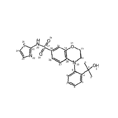 CC(C)(O)c1ccccc1N1CCOc2cc(S(=O)(=O)Nc3nccs3)ccc21